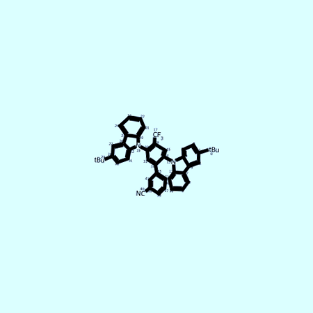 CC(C)(C)c1ccc2c(c1)c1ccccc1n2-c1cc(C(F)(F)F)c(-n2c3ccccc3c3cc(C(C)(C)C)ccc32)cc1-c1cccc(C#N)c1